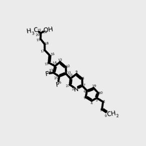 C=CCc1ccc(-c2ccc(-c3ccc(/C=C/CCCC(C)O)c(F)c3F)cn2)cc1